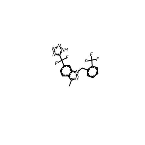 Cc1nn(Cc2ccccc2C(F)(F)F)c2cc(C(F)(F)c3nnn[nH]3)ccc12